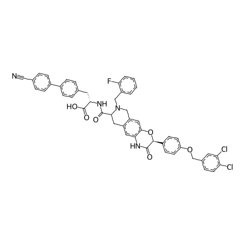 N#Cc1ccc(-c2ccc(C[C@H](NC(=O)C3Cc4cc5c(cc4CN3Cc3ccccc3F)O[C@@H](c3ccc(OCc4ccc(Cl)c(Cl)c4)cc3)C(=O)N5)C(=O)O)cc2)cc1